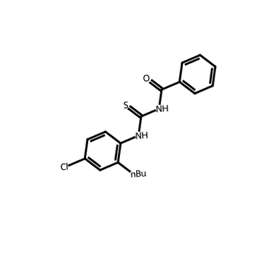 CCCCc1cc(Cl)ccc1NC(=S)NC(=O)c1ccccc1